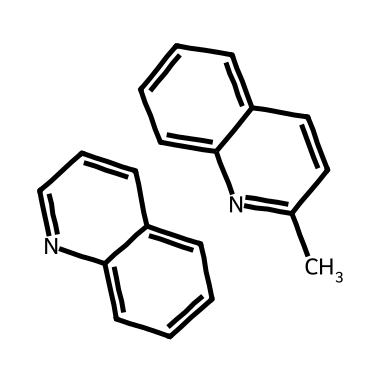 Cc1ccc2ccccc2n1.c1ccc2ncccc2c1